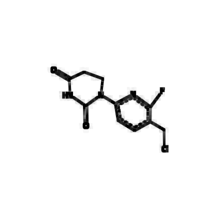 O=C1CCN(c2ccc(CCl)c(F)n2)C(=O)N1